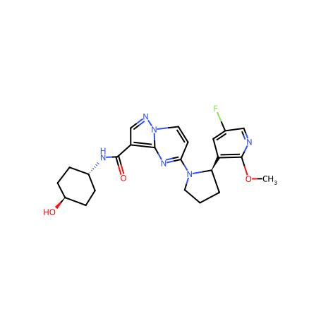 COc1ncc(F)cc1[C@H]1CCCN1c1ccn2ncc(C(=O)N[C@H]3CC[C@H](O)CC3)c2n1